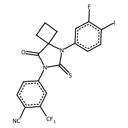 N#Cc1ccc(N2C(=O)C3(CCC3)N(c3ccc(I)c(F)c3)C2=S)cc1C(F)(F)F